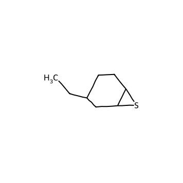 CCC1CCC2SC2C1